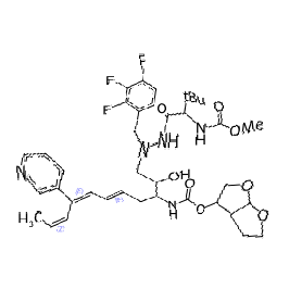 C\C=C/C(=C\C=C\CC(NC(=O)OC1COC2OCCC12)C(O)CN(Cc1ccc(F)c(F)c1F)NC(=O)C(NC(=O)OC)C(C)(C)C)c1cccnc1